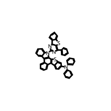 c1ccc(-c2nc(-n3c4ccccc4c4c5ccccc5c5c6ccc(N(c7ccccc7)c7ccccc7)cc6sc5c43)nc3c2sc2ccccc23)cc1